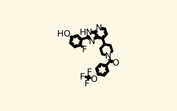 O=C(c1ccc(OC(F)(F)F)cc1)N1CCC(c2ccnc3[nH]c(-c4cc(O)ccc4F)nc23)CC1